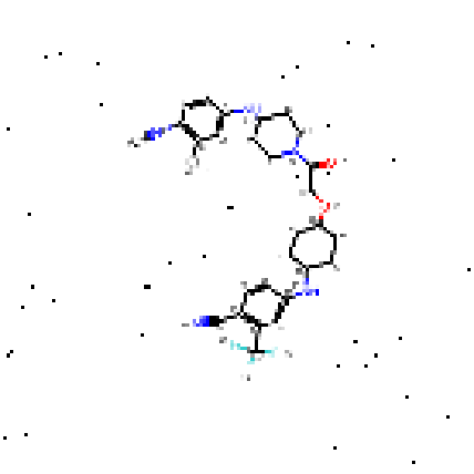 [C-]#[N+]c1ccc(NC2CCN(C(=O)COC3CCC(Nc4ccc(C#N)c(C(F)(F)F)c4)CC3)CC2)cc1C